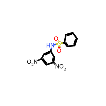 O=[N+]([O-])c1cc(NS(=O)(=O)c2ccccc2)cc([N+](=O)[O-])c1